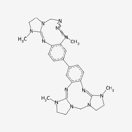 CN1CCN2CN3CCN(C)/C3=N\c3ccc(-c4ccc5c(c4)/N=C4\N(C)CCN4CN4CCN(C)/C4=N/5)cc3N=C12